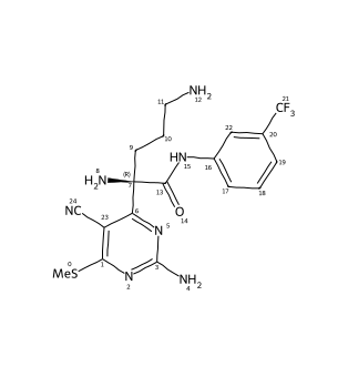 CSc1nc(N)nc([C@](N)(CCCN)C(=O)Nc2cccc(C(F)(F)F)c2)c1C#N